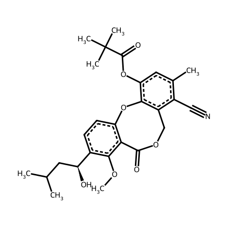 COc1c([C@@H](O)CC(C)C)ccc2c1C(=O)OCc1c(C#N)c(C)cc(OC(=O)C(C)(C)C)c1O2